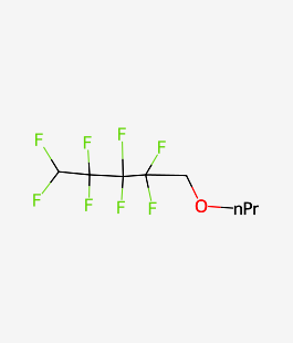 [CH2]CCOCC(F)(F)C(F)(F)C(F)(F)C(F)F